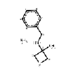 CC1(NCc2ccccc2)COC1.N